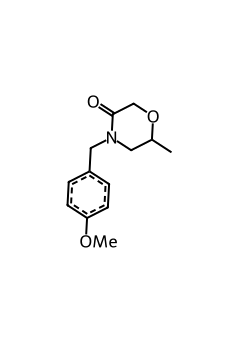 COc1ccc(CN2CC(C)OCC2=O)cc1